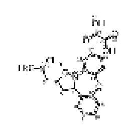 CN(C)CC1CC2c3ccccc3Oc3ccccc3N2O1.O=C(O)C(=O)O